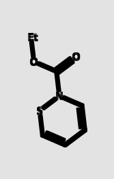 CCOC(=O)N1C=CC=CS1